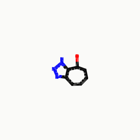 O=c1ccccc2nn[nH]c12